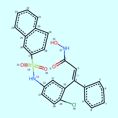 O=C(/C=C(/c1ccccc1)c1cc(NS(=O)(=O)c2ccc3ccccc3c2)ccc1Cl)NO